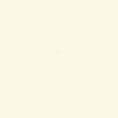 O=C(O)NCC1CCN(c2cccc3ccc(-c4nnc5cc(C(O)CO)ccn45)nc23)CC1